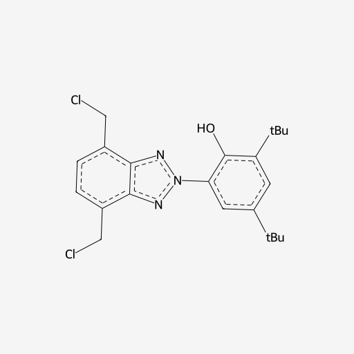 CC(C)(C)c1cc(-n2nc3c(CCl)ccc(CCl)c3n2)c(O)c(C(C)(C)C)c1